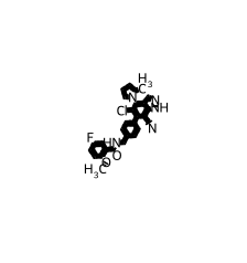 COc1ccc(F)cc1C(=O)NCc1ccc(-c2c(Cl)c(N3CCCC3C)c3cn[nH]c3c2C#N)cc1